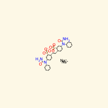 NC(=O)N(c1ccccc1)c1ccc(C=Cc2ccc(N(C(N)=O)c3ccccc3)cc2S(=O)(=O)[O-])c(S(=O)(=O)[O-])c1.[Na+].[Na+]